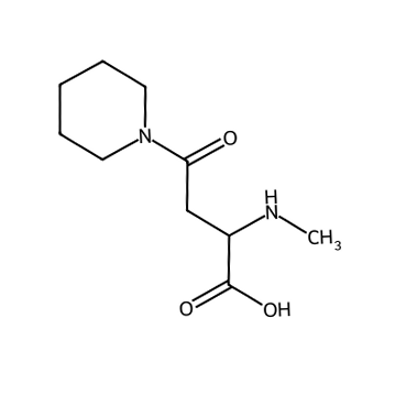 CNC(CC(=O)N1CCCCC1)C(=O)O